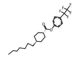 CCCCCCC[C@H]1CC[C@H](C(=O)Oc2ccc(C(F)(F)C(F)(F)F)cc2)CC1